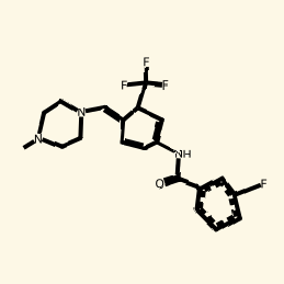 CN1CCN(C=C2C=CC(NC(=O)c3cccc(F)c3)=CC2C(F)(F)F)CC1